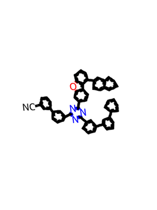 N#Cc1cccc(-c2cccc(-c3nc(-c4cccc(-c5cccc(-c6ccccc6)c5)c4)nc(-c4ccc5c(c4)oc4cccc(-c6ccc7ccccc7c6)c45)n3)c2)c1